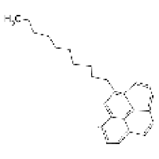 CCCCCCCCCCc1cc2[c]ccc3ccc4cccc1c4c23